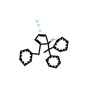 CC(c1ccccc1)(c1ccccc1)[C]1([Ti+3])C=CC=C1Cc1ccccc1.[Cl-].[Cl-].[Cl-]